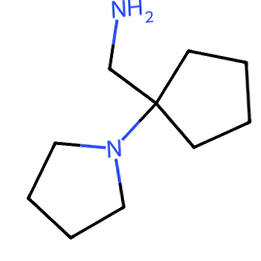 NCC1(N2CCCC2)CCCC1